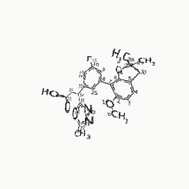 COc1ccc2c(c1-c1cc(F)cc(C(CC(=O)O)c3nnc(C)o3)c1)OC(C)(C)C2